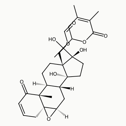 CC1=C(C)C(=O)OC(C(C)(O)[C@]2(O)CC[C@@]3(O)[C@@H]4C[C@H]5O[C@]56CC=CC(=O)[C@]6(C)[C@H]4CC[C@@]32COC=O)C1